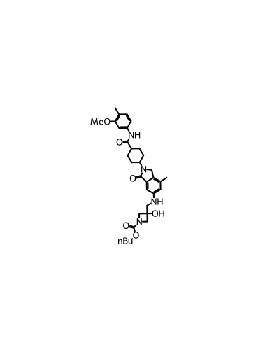 CCCCOC(=O)N1CC(O)(CNc2cc(C)c3c(c2)C(=O)N(C2CCC(C(=O)Nc4ccc(C)c(OC)c4)CC2)C3)C1